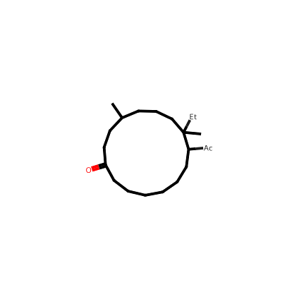 CCC1(C)CCCC(C)CCC(=O)CCCCCCC1C(C)=O